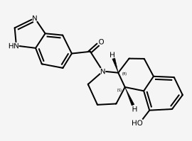 O=C(c1ccc2[nH]cnc2c1)N1CCC[C@H]2c3c(O)cccc3CC[C@H]21